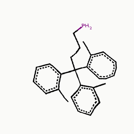 Cc1ccccc1C(CCCP)(c1ccccc1C)c1ccccc1C